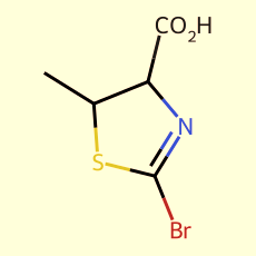 CC1SC(Br)=NC1C(=O)O